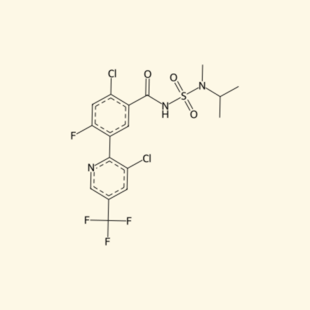 CC(C)N(C)S(=O)(=O)NC(=O)c1cc(-c2ncc(C(F)(F)F)cc2Cl)c(F)cc1Cl